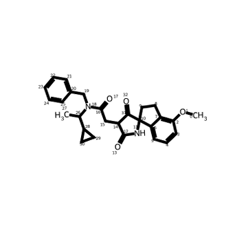 COc1cccc2c1CCC21NC(=O)C(CC(=O)N(Cc2ccccc2)C(C)C2CC2)C1=O